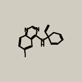 C=CC1(Nc2ncnc3ccc(I)cc23)C=CC=CC1